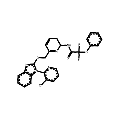 O=C(NC1CC=CC(COc2nc3ccccc3n2-c2ncccc2Cl)=N1)C(F)(F)Oc1ccccc1